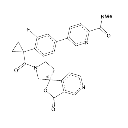 CNC(=O)c1ccc(-c2ccc(C3(C(=O)N4CC[C@@]5(C4)OC(=O)c4cnccc45)CC3)c(F)c2)cn1